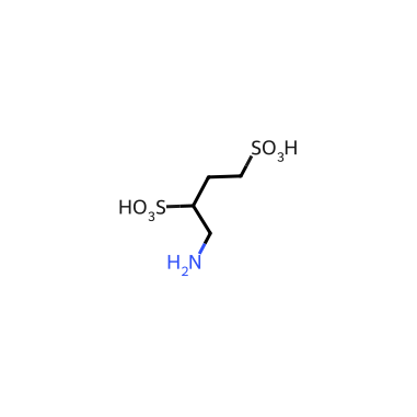 NCC(CCS(=O)(=O)O)S(=O)(=O)O